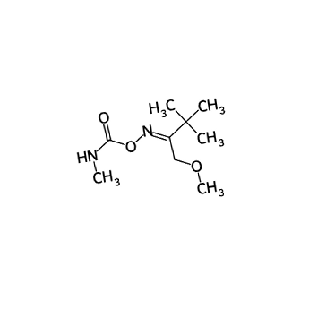 CNC(=O)ON=C(COC)C(C)(C)C